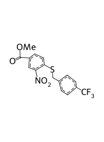 COC(=O)c1ccc(SCc2ccc(C(F)(F)F)cc2)c([N+](=O)[O-])c1